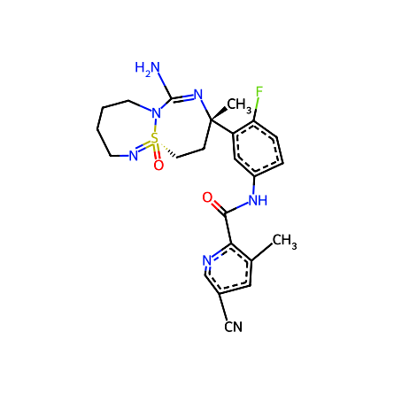 Cc1cc(C#N)cnc1C(=O)Nc1ccc(F)c([C@]2(C)CC[S@]3(=O)=NCCCCN3C(N)=N2)c1